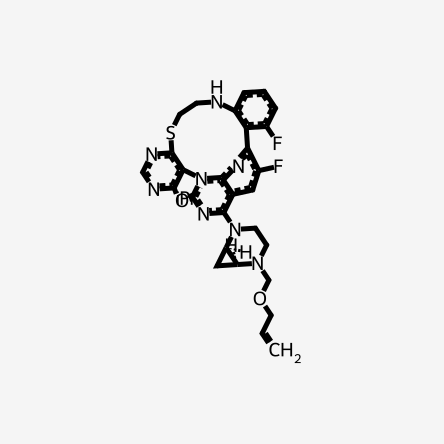 C=CCOCN1CCN(c2nc(=O)n3c4nc(c(F)cc24)-c2c(F)cccc2NCCSc2ncnc(C(C)C)c2-3)[C@@H]2C[C@@H]21